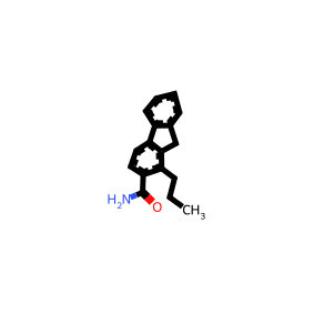 CCCc1c(C(N)=O)ccc2c1Cc1ccccc1-2